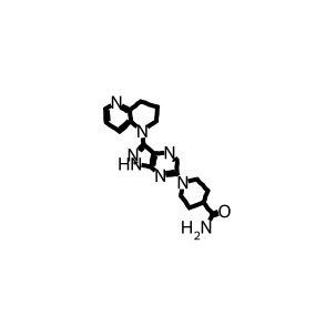 NC(=O)C1CCN(c2cnc3c(N4CCCc5ncccc54)n[nH]c3n2)CC1